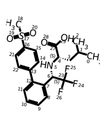 CC(C)C[C@H](N[C@@H](c1ccccc1-c1ccc(S(C)(=O)=O)cc1)C(F)(F)F)C(=O)O